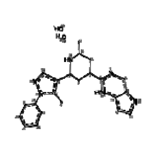 Cc1c(C2CC(c3ncc4nccc-4[nH]3)CC(C)N2)cnn1-c1ccccc1.Cl.O